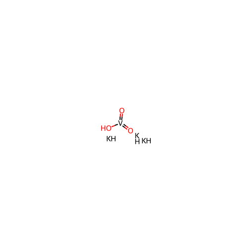 [KH].[KH].[KH].[O]=[V](=[O])[OH]